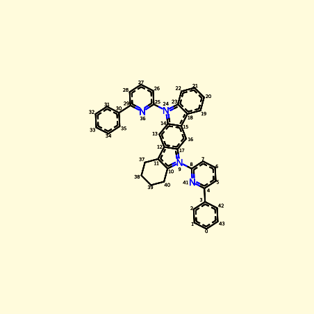 c1ccc(-c2cccc(-n3c4c(c5cc6c(cc53)c3ccccc3n6-c3cccc(-c5ccccc5)n3)CCCC4)n2)cc1